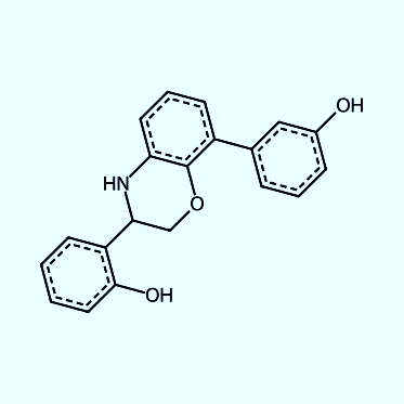 Oc1cccc(-c2cccc3c2OCC(c2ccccc2O)N3)c1